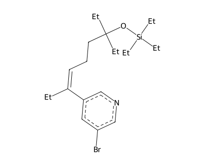 CC/C(=C/CCC(CC)(CC)O[Si](CC)(CC)CC)c1cncc(Br)c1